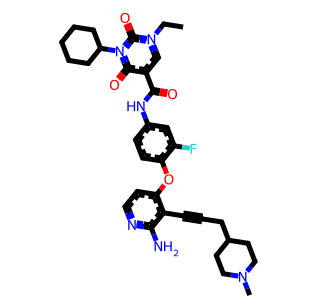 CCn1cc(C(=O)Nc2ccc(Oc3ccnc(N)c3C#CCC3CCN(C)CC3)c(F)c2)c(=O)n(C2CCCCC2)c1=O